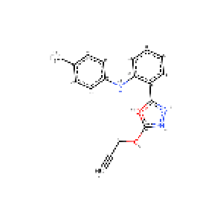 C#CCOc1nnc(-c2ccccc2Nc2ccc(C(F)(F)F)cc2)o1